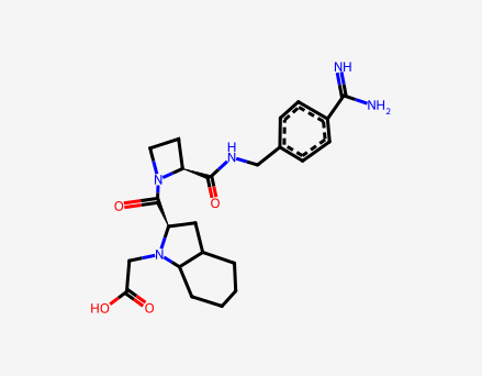 N=C(N)c1ccc(CNC(=O)[C@@H]2CCN2C(=O)[C@H]2CC3CCCCC3N2CC(=O)O)cc1